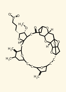 C=C1CC2CC[C@@]34CC5OC6C(O3)[C@H]3OC(CCC3O[C@H]6C5O4)CC(=O)CC3[C@H](CC4OC(CCC1O2)CC(C)C4=C)O[C@H](CCC[N+](=O)[O-])[C@@H]3OC